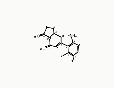 Nc1ccc(Cl)c(F)c1C1=CC(=O)N2C(=O)CCC2C1